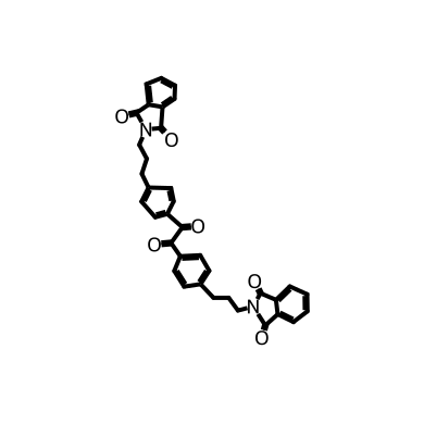 O=C(C(=O)c1ccc(CCCN2C(=O)c3ccccc3C2=O)cc1)c1ccc(CCCN2C(=O)c3ccccc3C2=O)cc1